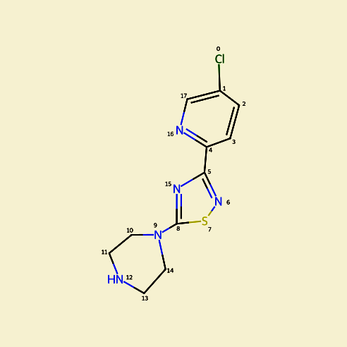 Clc1ccc(-c2nsc(N3CCNCC3)n2)nc1